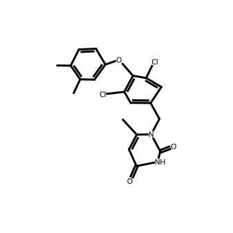 Cc1ccc(Oc2c(Cl)cc(Cn3c(C)cc(=O)[nH]c3=O)cc2Cl)cc1C